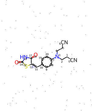 N#CCCN(CCC#N)c1ccc(/C=C2/SC(=O)NC2=O)cc1